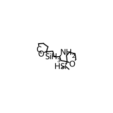 C[SiH](C)C1(CC(N)CCC2([SiH3])CCCCO2)CCCCO1